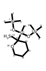 C[Si](C)(C)O[Si](C)(O[Si](C)(C)C)C1([SiH3])CCCCO1